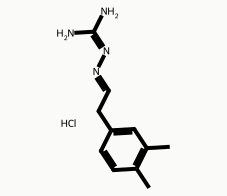 Cc1ccc(CC=NN=C(N)N)cc1C.Cl